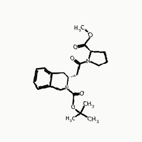 COC(=O)[C@H]1CCCN1C(=O)C[C@H]1Cc2ccccc2CN1C(=O)OC(C)(C)C